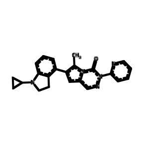 Cc1c(-c2cccc3c2CCN3C2CC2)cc2cnn(-c3ccccn3)c(=O)n12